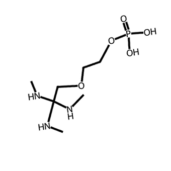 CNC(COCCOP(=O)(O)O)(NC)NC